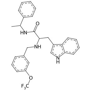 CC(NC(=O)C(Cc1c[nH]c2ccccc12)NCc1cccc(OC(F)(F)F)c1)c1ccccc1